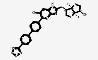 O[C@@H]1CO[C@H]2[C@@H]1OC[C@H]2Oc1nc2nc(-c3ccc(-c4ccc(-c5nnn[nH]5)cc4)cc3)c(Cl)cc2[nH]1